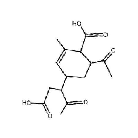 CC(=O)C(CC(=O)O)C1C=C(C)C(C(=O)O)C(C(C)=O)C1